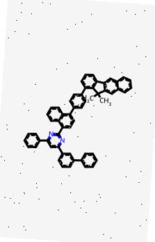 CC1(C)c2cc3ccccc3cc2-c2cccc(-c3ccc(-c4ccc(-c5nc(-c6ccccc6)cc(-c6cccc(-c7ccccc7)c6)n5)c5ccccc45)cc3)c21